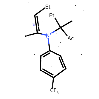 CC/C=C(/C)N(c1ccc(C(F)(F)F)cc1)C(C)(CC)C(C)=O